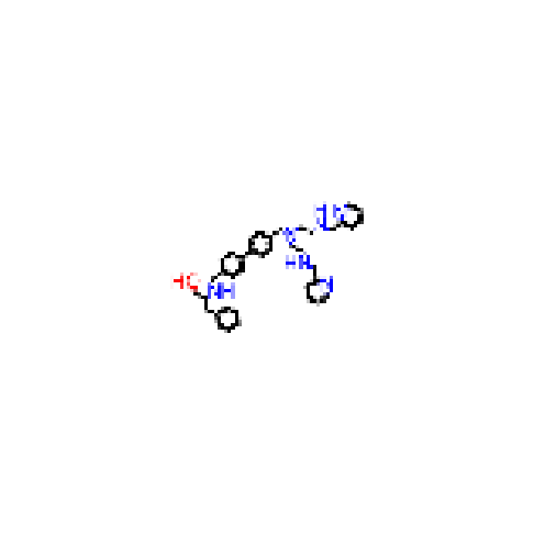 OCC(Cc1ccccc1)NCc1ccc(-c2ccc(CN(CCNCc3ccccn3)CCNCc3ccccn3)cc2)cc1